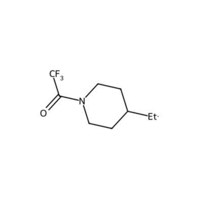 C[CH]C1CCN(C(=O)C(F)(F)F)CC1